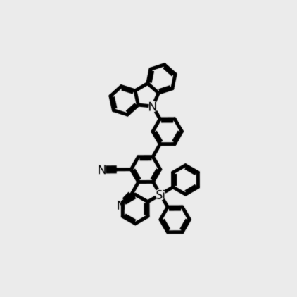 N#Cc1cc(-c2cccc(-n3c4ccccc4c4ccccc43)c2)cc([Si](c2ccccc2)(c2ccccc2)c2ccccc2)c1C#N